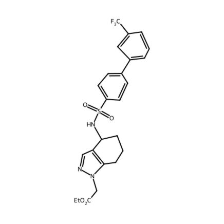 CCOC(=O)Cn1ncc2c1CCCC2NS(=O)(=O)c1ccc(-c2cccc(C(F)(F)F)c2)cc1